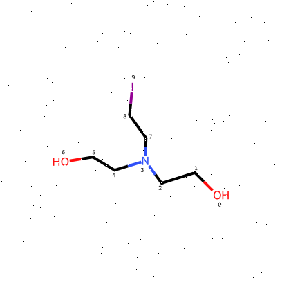 OCCN(CCO)CCI